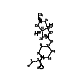 CCC(=O)N1CCC(CN2C[C@H]3CN(I)C[C@H]3C2)CC1